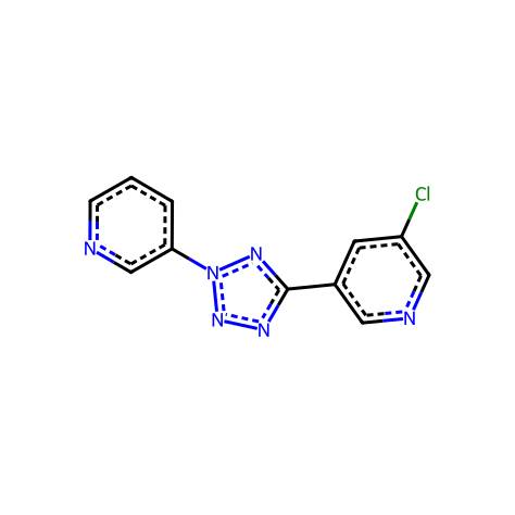 Clc1cncc(-c2nnn(-c3cccnc3)n2)c1